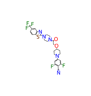 N#Cc1c(F)cc(N2CCC(OCC(=O)N3CCN(c4nc5cc(C(F)(F)F)ccc5s4)CC3)CC2)cc1F